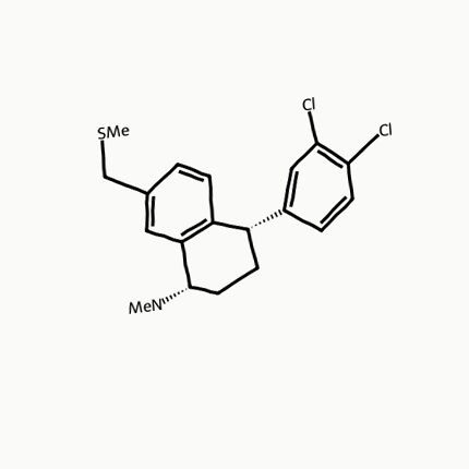 CN[C@H]1CC[C@@H](c2ccc(Cl)c(Cl)c2)c2ccc(CSC)cc21